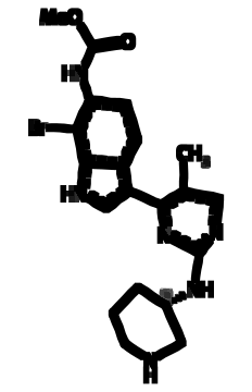 COC(=O)Nc1ccc2c(-c3nc(N[C@H]4CCCNC4)ncc3C)c[nH]c2c1Br